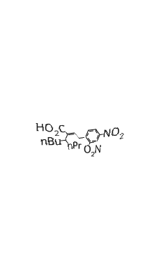 CCCCC(CCC)/C(=C\Cc1ccc([N+](=O)[O-])cc1[N+](=O)[O-])C(=O)O